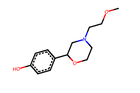 COCCN1CCOC(c2ccc(O)cc2)C1